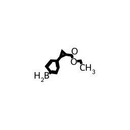 Bc1ccc(C2CC2C(=O)OCC)cc1